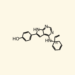 C=C[C@@]1(Nc2ncnc3[nH]c(-c4ccc(O)cc4)cc23)C=CC=CC1